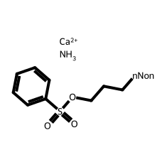 CCCCCCCCCCCCOS(=O)(=O)c1ccccc1.N.[Ca+2]